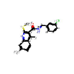 CCSc1nc2cc(C(F)(F)F)ccc2c(C)c1C(=O)NCc1cccc(Cl)c1